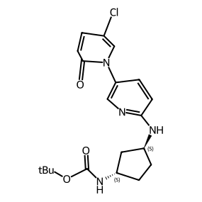 CC(C)(C)OC(=O)N[C@H]1CC[C@H](Nc2ccc(-n3cc(Cl)ccc3=O)cn2)C1